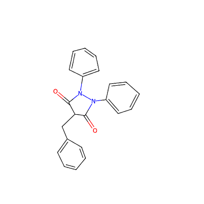 O=C1C(Cc2ccccc2)C(=O)N(c2ccccc2)N1c1ccccc1